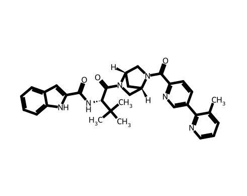 Cc1cccnc1-c1ccc(C(=O)N2C[C@@H]3C[C@H]2CN3C(=O)[C@@H](NC(=O)c2cc3ccccc3[nH]2)C(C)(C)C)nc1